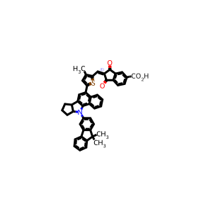 Cc1cc(-c2cc3c(c4ccccc24)N(c2ccc4c(c2)-c2ccccc2C4(C)C)C2CCCC32)sc1/C=C1\C(=O)c2ccc(C(=O)O)cc2C1=O